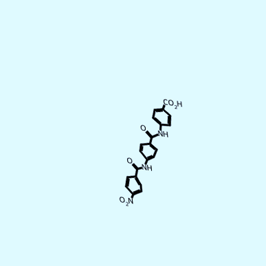 O=C(O)c1ccc(NC(=O)c2ccc(NC(=O)c3ccc([N+](=O)[O-])cc3)cc2)cc1